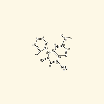 Cc1ncccc1-n1c(=O)nc(N)c2ccc(C(C)C)nc21